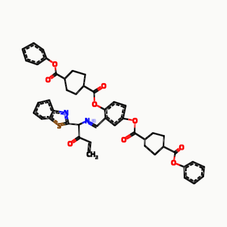 C=CC(=O)C(/N=C/c1cc(OC(=O)C2CCC(C(=O)Oc3ccccc3)CC2)ccc1OC(=O)C1CCC(C(=O)Oc2ccccc2)CC1)c1nc2ccccc2s1